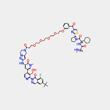 CN[C@H](C)C(=O)N[C@@H](C(=O)N1CCC[C@@H]1c1nc(C(=O)c2cccc(OCCOCCOCCOCCOCCC(=O)N3CCn4nc(Nc5cc(-c6ccnc(-n7ncc8cc(C(C)(C)C)cc(F)c8c7=O)c6CO)cn(C)c5=O)cc4C3)c2)cs1)C1CCCCC1